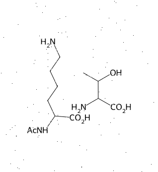 CC(=O)NC(CCCCN)C(=O)O.CC(O)C(N)C(=O)O